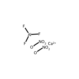 O=[N+]([O-])[O-].O=[N+]([O-])[O-].[Ca+2].[F][Al]([F])[F]